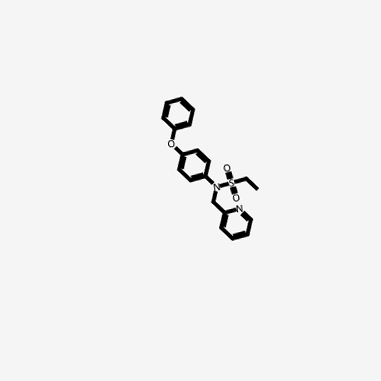 CCS(=O)(=O)N(Cc1ccccn1)c1ccc(Oc2ccccc2)cc1